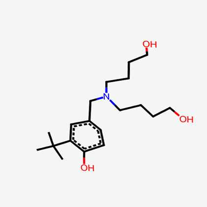 CC(C)(C)c1cc(CN(CCCCO)CCCCO)ccc1O